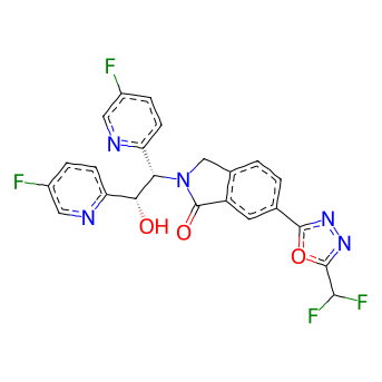 O=C1c2cc(-c3nnc(C(F)F)o3)ccc2CN1[C@@H](c1ccc(F)cn1)[C@H](O)c1ccc(F)cn1